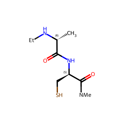 CCN[C@H](C)C(=O)N[C@H](CS)C(=O)NC